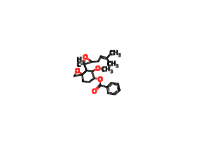 COC1C(OC(=O)c2ccccc2)CCC2(CO2)C1C1(C)OC1CC=C(C)C